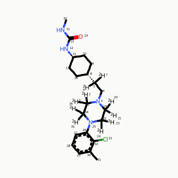 [2H]C1([2H])N(CC([2H])([2H])[C@H]2CC[C@H](NC(=O)NC)CC2)C([2H])([2H])C([2H])([2H])N(c2cccc(C)c2Cl)C1([2H])[2H]